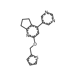 c1csc(COc2cc(-c3cncnc3)c3c(n2)CCC3)c1